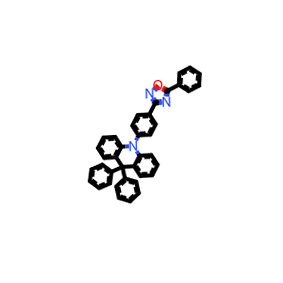 c1ccc(-c2nc(-c3ccc(N4c5ccccc5C(c5ccccc5)(c5ccccc5)c5ccccc54)cc3)no2)cc1